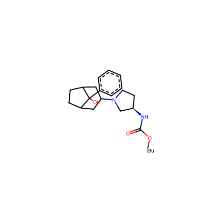 CC(C)(C)OC(=O)N[C@@H]1CCN(C2CC3CCC(C2)C3(O)c2ccccc2)C1